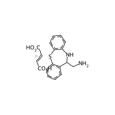 NCC1Nc2ccccc2Sc2ccccc21.O=C(O)/C=C/C(=O)O